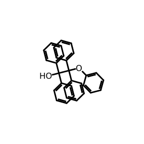 OC(c1ccccc1)(c1ccccc1)C(Oc1ccccc1)(c1ccccc1)c1ccccc1